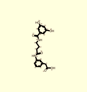 O=C(O)Cc1cccc(NC(=O)CCCNC(=O)c2cc(O)cc(O)c2)c1